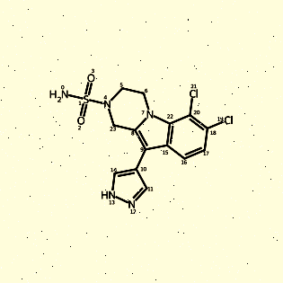 NS(=O)(=O)N1CCn2c(c(-c3cn[nH]c3)c3ccc(Cl)c(Cl)c32)C1